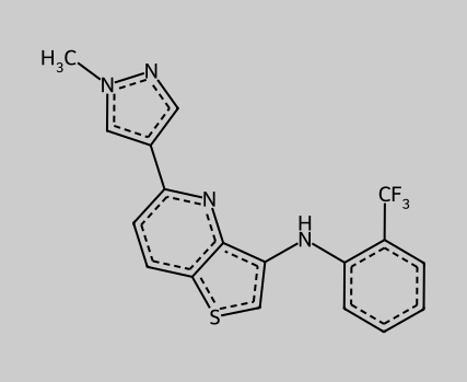 Cn1cc(-c2ccc3scc(Nc4ccccc4C(F)(F)F)c3n2)cn1